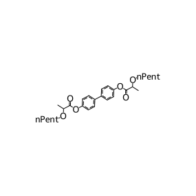 CCCCCOC(C)C(=O)Oc1ccc(-c2ccc(OC(=O)C(C)OCCCCC)cc2)cc1